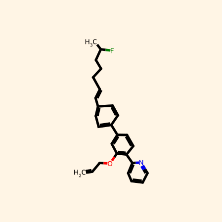 C=CCOc1cc(-c2ccc(C=CCCCC(C)F)cc2)ccc1-c1ccccn1